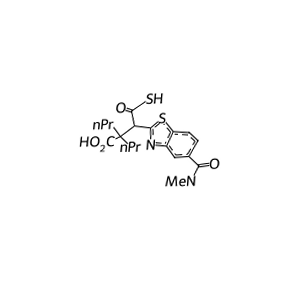 CCCC(CCC)(C(=O)O)C(C(=O)S)c1nc2cc(C(=O)NC)ccc2s1